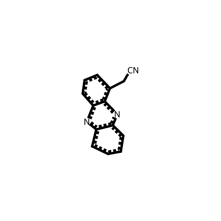 N#CCc1cccc2nc3ccccc3nc12